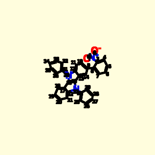 O=[N+]([O-])c1ccccc1-c1ccc2c(c1)c1c(c3ccccc3n1-c1ccccc1)n2-c1ccccc1